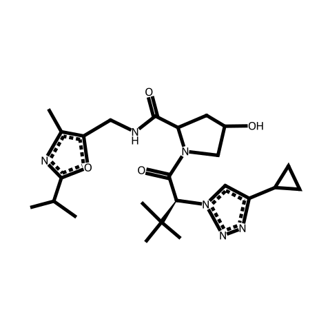 Cc1nc(C(C)C)oc1CNC(=O)C1CC(O)CN1C(=O)[C@@H](n1cc(C2CC2)nn1)C(C)(C)C